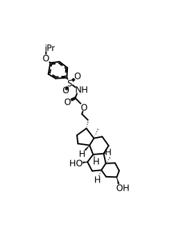 CC(C)Oc1ccc(S(=O)(=O)NC(=O)OCC[C@H]2CC[C@H]3[C@@H]4[C@H](O)C[C@@H]5C[C@H](O)CC[C@]5(C)[C@H]4CC[C@]23C)cc1